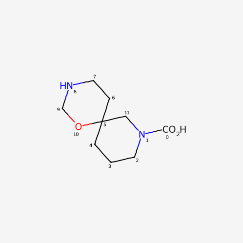 O=C(O)N1CCCC2(CCNCO2)C1